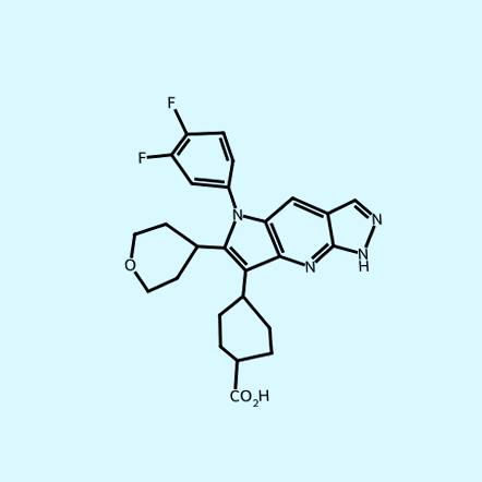 O=C(O)C1CCC(c2c(C3CCOCC3)n(-c3ccc(F)c(F)c3)c3cc4cn[nH]c4nc23)CC1